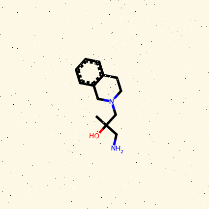 CC(O)(CN)CN1CCc2ccccc2C1